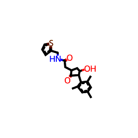 Cc1cc(C)c(C2C(=O)C(CC(=O)NCc3cccs3)CC2O)c(C)c1